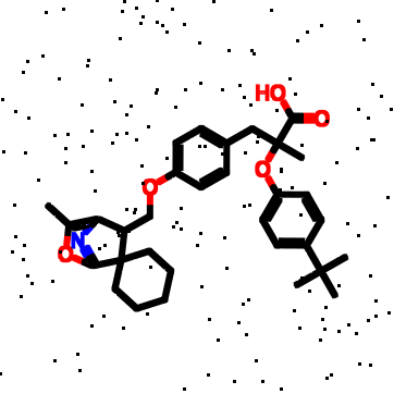 Cc1oc2nc1C(COc1ccc(CC(C)(Oc3ccc(C(C)(C)C)cc3)C(=O)O)cc1)C21CCCCC1